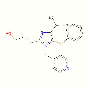 CC(C)c1nc(CCCO)n(Cc2ccncc2)c1Sc1ccccc1